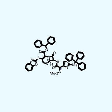 CO/N=C(\C(=O)NC1C(=O)N2C(C(=O)OC(c3ccccc3)c3ccccc3)=C(Sc3nc4ccccc4o3)CS[C@H]12)c1csc(NC(c2ccccc2)(c2ccccc2)c2ccccc2)n1